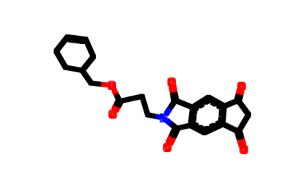 O=C(CCN1C(=O)c2cc3c(cc2C1=O)C(=O)CC3=O)OCC1CC=CCC1